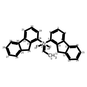 C[CH]=[Zr]([F])([F])([c]1cccc2c1Cc1ccccc1-2)[c]1cccc2c1Cc1ccccc1-2